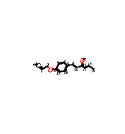 C=C=CCOc1ccc(/C=C/C(=O)/C=C/C)cc1